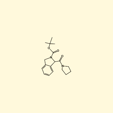 CC(C)(C)OC(=O)N1Cc2ccccc2C1C(=O)N1CCCC1